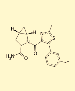 Cc1nc(C(=O)N2[C@H](C(N)=O)C[C@@H]3C[C@@H]32)c(-c2cccc(F)c2)s1